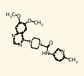 COc1cc2ncnc(N3CCN(C(=O)Nc4ccc(C)nc4)CC3)c2cc1OC